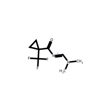 CN(C)/C=N/C(=O)C1(C(F)(F)F)CC1